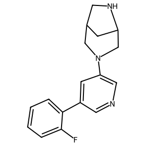 Fc1ccccc1-c1cncc(N2CC3CNC(C3)C2)c1